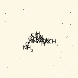 CCc1cc(Nc2nccn3c(-c4cn(CC)nc4C(F)(F)F)cnc23)ccc1C(=O)NCCOCCN